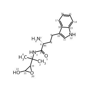 CC(C)(NC(=O)[C@H](N)CCc1c[nH]c2ccccc12)C1OC1O